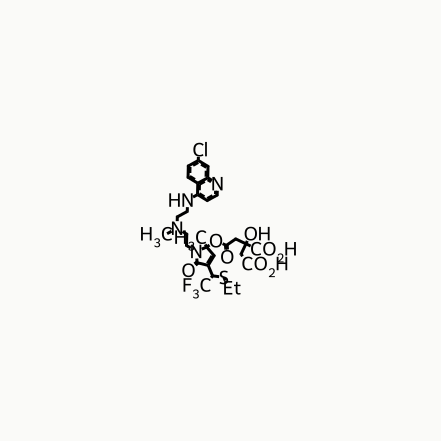 CCSC(C1=CC(C)(OC(=O)CC(O)(CC(=O)O)C(=O)O)N(CCN(C)CCNc2ccnc3cc(Cl)ccc23)C1=O)C(F)(F)F